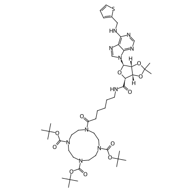 CC(C)(C)OC(=O)N1CCN(C(=O)CCCCCNC(=O)[C@H]2O[C@@H](n3cnc4c(NCc5cccs5)ncnc43)[C@@H]3OC(C)(C)O[C@@H]32)CCN(C(=O)OC(C)(C)C)CCN(C(=O)OC(C)(C)C)CC1